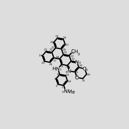 CNc1ccc(Nc2c3nc4c(nc3c(C)c3c5ccccc5c5ccccc5c23)OCCO4)cc1